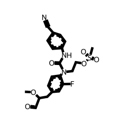 COC(C=O)Cc1ccc(N(CCOS(C)(=O)=O)C(=O)Nc2ccc(C#N)cc2)c(F)c1